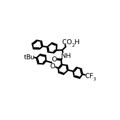 CC(C)(C)c1ccc(COc2ccc(-c3ccc(C(F)(F)F)cc3)cc2C(=O)NC(CC(=O)O)c2ccc(-c3ccccc3)cc2)cc1